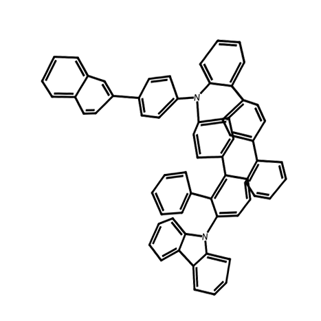 c1ccc(-c2ccc(-c3ccccc3N(c3ccc(-c4ccc5ccccc5c4)cc3)c3ccc(-c4cccc(-n5c6ccccc6c6ccccc65)c4-c4ccccc4)cc3)cc2)cc1